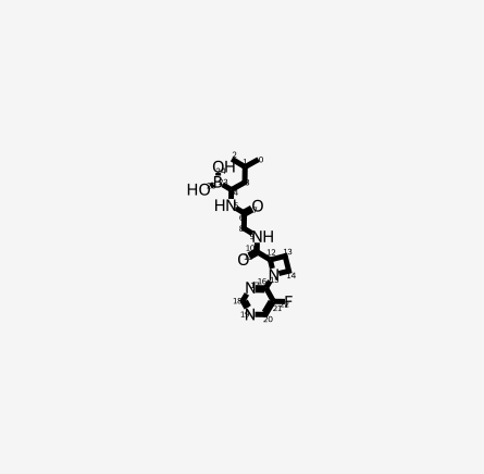 CC(C)CC(NC(=O)CNC(=O)C1CCN1c1ncncc1F)B(O)O